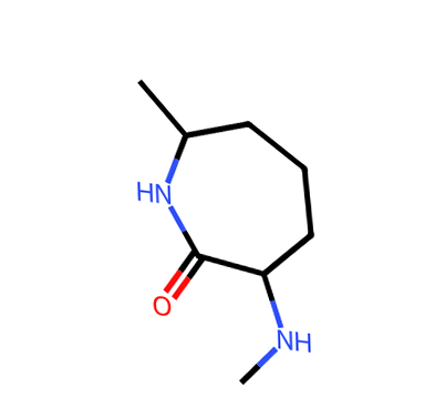 CNC1CCCC(C)NC1=O